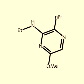 CCCc1ncc(OC)nc1NCC